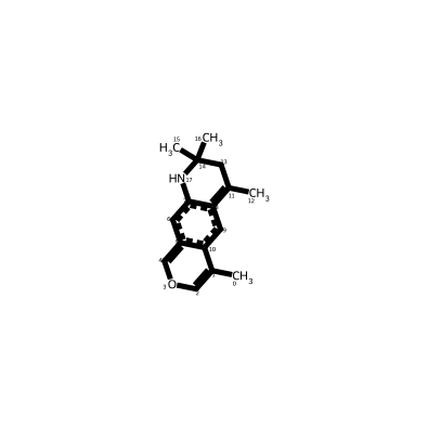 CC1=COC=c2cc3c(cc21)=C(C)CC(C)(C)N3